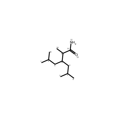 CC(C)CC(CC(C)C)C(C)C(N)=O